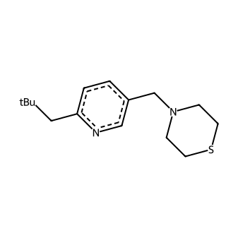 CC(C)(C)Cc1ccc(CN2CCSCC2)cn1